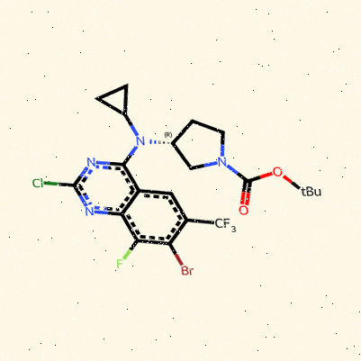 CC(C)(C)OC(=O)N1CC[C@@H](N(c2nc(Cl)nc3c(F)c(Br)c(C(F)(F)F)cc23)C2CC2)C1